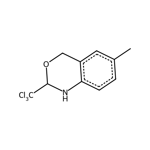 Cc1ccc2c(c1)COC(C(Cl)(Cl)Cl)N2